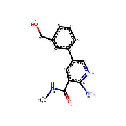 CNC(=O)c1cc(-c2cccc(CO)c2)cnc1N